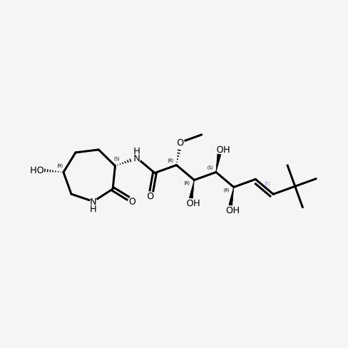 CO[C@@H](C(=O)N[C@H]1CC[C@@H](O)CNC1=O)[C@H](O)[C@@H](O)[C@H](O)/C=C/C(C)(C)C